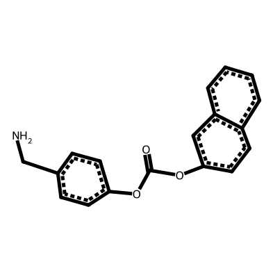 NCc1ccc(OC(=O)Oc2ccc3ccccc3c2)cc1